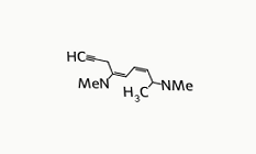 C#CC/C(=C\C=C/C(C)NC)NC